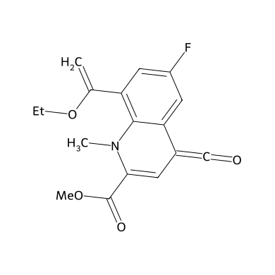 C=C(OCC)c1cc(F)cc2c1N(C)C(C(=O)OC)=CC2=C=O